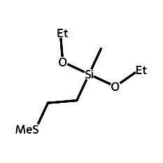 CCO[Si](C)(CCSC)OCC